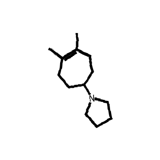 CC1=C(C)CCC(N2CCCC2)CC1